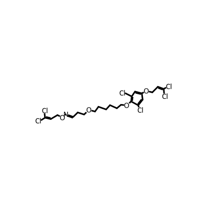 ClC(Cl)=CCON=CCCOCCCCCCOc1c(Cl)cc(OCC=C(Cl)Cl)cc1Cl